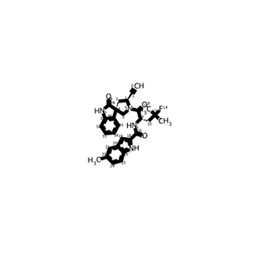 C#C[C@@H]1C[C@@]2(CN1C(=O)[C@H](CC(C)(C)F)NC(=O)c1cc3cc(C)ccc3[nH]1)C(=O)Nc1ccccc12